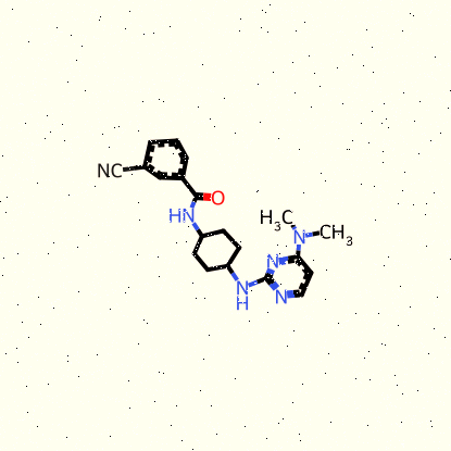 CN(C)c1ccnc(NC2CCC(NC(=O)c3cccc(C#N)c3)CC2)n1